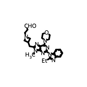 CCc1nc2ccccc2n1-c1nc(N2CCOCC2)c2nc(CC3CN(CCC=O)C3)n(C)c2n1